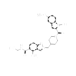 COc1ccc2c(c1)cc(C(=O)N1CCC(Cn3cc4c(C)c(C(=O)NCC(F)(F)F)ccc4n3)CC1)n2C